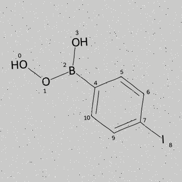 OOB(O)c1ccc(I)cc1